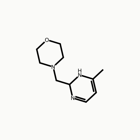 CC1=CC=NC(CN2CCOCC2)N1